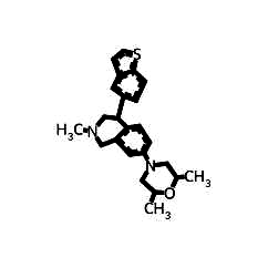 CC1CN(c2ccc3c(c2)CN(C)CC3c2ccc3sccc3c2)CC(C)O1